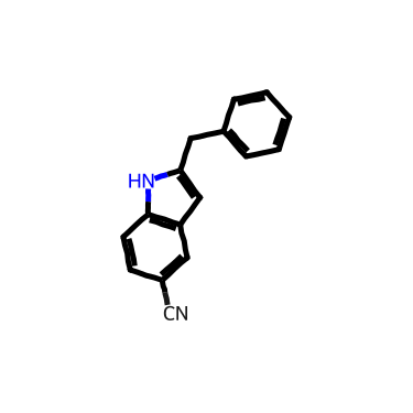 N#Cc1ccc2[nH]c(Cc3ccccc3)cc2c1